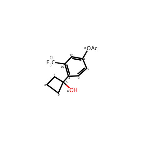 CC(=O)Oc1ccc(C2(O)CCC2)c(C(F)(F)F)c1